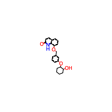 O=c1ccc2cccc(OCc3cccc(OC4CCCCC4O)c3)c2[nH]1